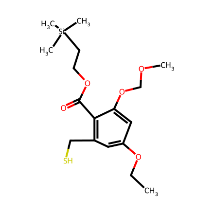 CCOc1cc(CS)c(C(=O)OCC[Si](C)(C)C)c(OCOC)c1